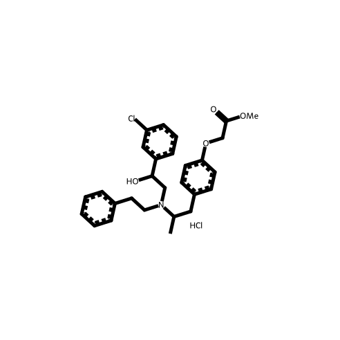 COC(=O)COc1ccc(CC(C)N(CCc2ccccc2)CC(O)c2cccc(Cl)c2)cc1.Cl